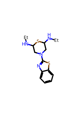 CCNC1CN(c2nc3ccccc3s2)CC(NCC)S1